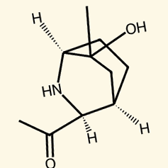 CC(=O)[C@H]1N[C@H]2CC[C@@H]1CC2(C)O